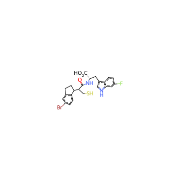 O=C(N[C@@H](Cc1c[nH]c2cc(F)ccc12)C(=O)O)C(CS)C1CCc2cc(Br)ccc21